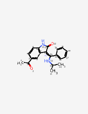 CC(=O)c1ccc2c(c1)/C(=C(\NC(C)C)c1ccccc1)C(=O)N2